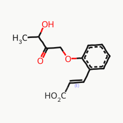 CC(O)C(=O)COc1ccccc1/C=C/C(=O)O